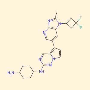 Cc1nc2ncc(-c3ccn4nc(N[C@H]5CC[C@@H](N)CC5)ncc34)cc2n1C1CC(F)(F)C1